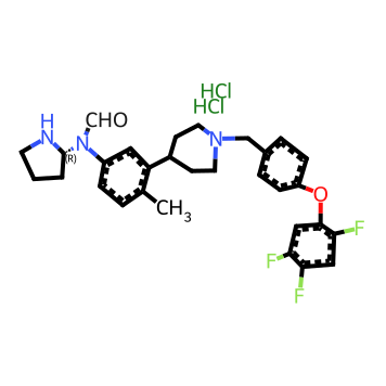 Cc1ccc(N(C=O)[C@@H]2CCCN2)cc1C1CCN(Cc2ccc(Oc3cc(F)c(F)cc3F)cc2)CC1.Cl.Cl